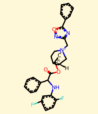 O=C(O[C@H]1C[N+]2(Cc3noc(-c4ccccc4)n3)CCC1CC2)C(Nc1cc(F)ccc1F)c1ccccc1